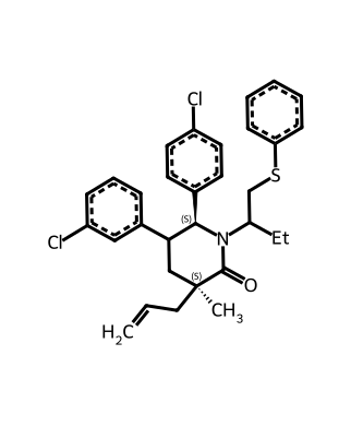 C=CC[C@@]1(C)CC(c2cccc(Cl)c2)[C@@H](c2ccc(Cl)cc2)N(C(CC)CSc2ccccc2)C1=O